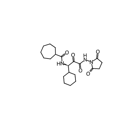 O=C(NN1C(=O)CCC1=O)C(=O)[C@H](NC(=O)C1CCCCCC1)C1CCCCC1